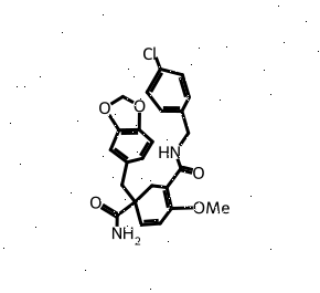 COC1=C(C(=O)NCc2ccc(Cl)cc2)CC(Cc2ccc3c(c2)OCO3)(C(N)=O)C=C1